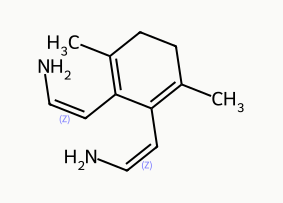 CC1=C(/C=C\N)C(/C=C\N)=C(C)CC1